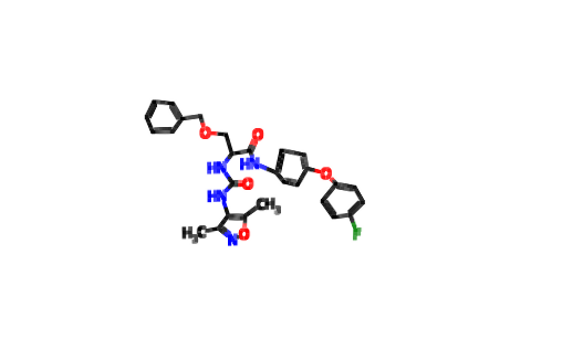 Cc1noc(C)c1NC(=O)NC(COCc1ccccc1)C(=O)Nc1ccc(Oc2ccc(F)cc2)cc1